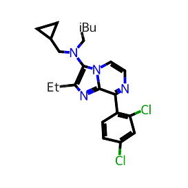 CCc1nc2c(-c3ccc(Cl)cc3Cl)nccn2c1N(CC(C)CC)CC1CC1